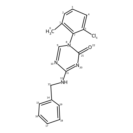 Cc1cccc(Cl)c1-n1cnc(NCc2ccccc2)nc1=O